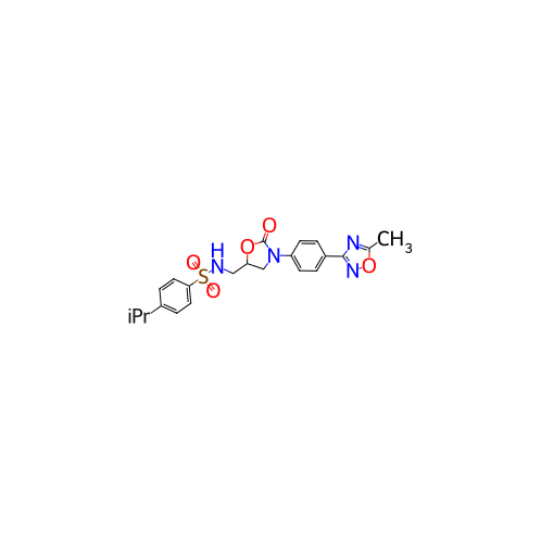 Cc1nc(-c2ccc(N3CC(CNS(=O)(=O)c4ccc(C(C)C)cc4)OC3=O)cc2)no1